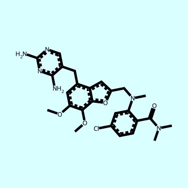 COc1cc(Cc2cnc(N)nc2N)c2cc(CN(C)c3cc(Cl)ccc3C(=O)N(C)C)oc2c1OC